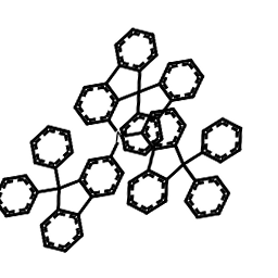 c1ccc(C2(c3ccccc3)c3ccccc3-c3ccc(N(c4cccc5c4-c4ccccc4C5(c4ccccc4)c4ccccc4)c4cccc5c4C4(c6ccccc6-c6ccccc64)c4ccccc4-5)cc32)cc1